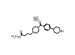 COC(=O)CCCN1CCN(C(=O)c2ccc(C3CCNCC3)cc2)CC1.Cl.Cl